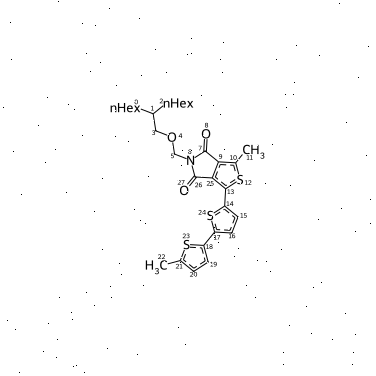 CCCCCCC(CCCCCC)COCN1C(=O)c2c(C)sc(-c3ccc(-c4ccc(C)s4)s3)c2C1=O